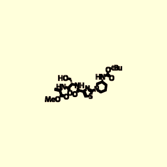 C=C(NC(=O)[C@H](CO)NC(=O)c1csc(N2CCC[C@@H](NC(=O)OC(C)(C)C)C2)n1)C(=O)OC